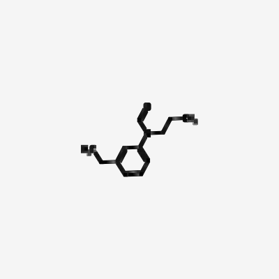 CCCN(C=O)c1cccc(CC)c1